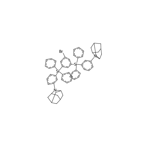 Brc1cc([Si](c2ccccc2)(c2ccccc2)c2cccc(N3C4CC5CC(C4)CC3C5)c2)cc([Si](c2ccccc2)(c2ccccc2)c2cccc(N3C4CC5CC(C4)CC3C5)c2)c1